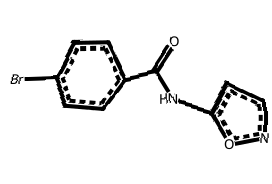 O=C(Nc1ccno1)c1ccc(Br)cc1